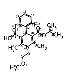 COCCN1C(C)=C(C(=O)O)C(c2c(F)cccc2F)C(C(=O)OC(C)C)=C1C